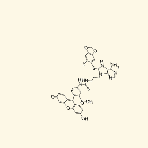 Nc1ncnc2c1NC(Sc1cc3c(cc1I)OCO3)N2CCCNC(=S)Nc1ccc(-c2c3ccc(=O)cc-3oc3cc(O)ccc23)c(C(=O)O)c1